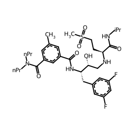 CCCN(CCC)C(=O)c1cc(C)cc(C(=O)N[C@@H](Cc2cc(F)cc(F)c2)[C@H](O)CN[C@@H](CCS(C)(=O)=O)C(=O)NC(C)C)c1